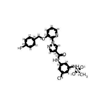 CS(=O)(=O)Nc1cc(Cl)cc(NC(=O)c2cnn(-c3ncccc3OCc3ccc(F)cc3)c2)c1